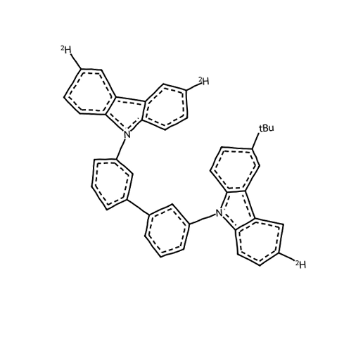 [2H]c1ccc2c(c1)c1cc([2H])ccc1n2-c1cccc(-c2cccc(-n3c4ccc([2H])cc4c4cc(C(C)(C)C)ccc43)c2)c1